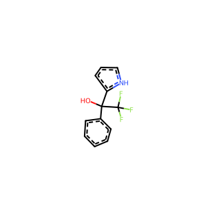 OC(c1ccccc1)(c1ccc[nH]1)C(F)(F)F